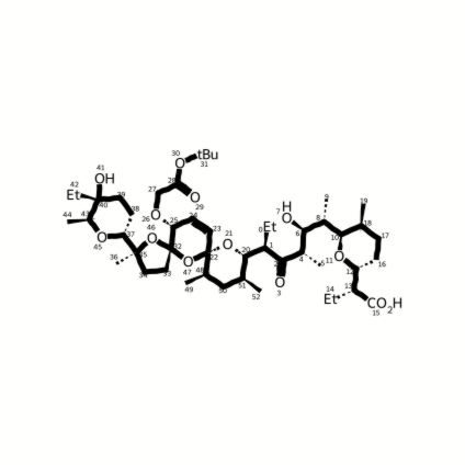 CC[C@@H](C(=O)[C@@H](C)[C@@H](O)[C@H](C)[C@@H]1O[C@@H]([C@@H](CC)C(=O)O)CC[C@@H]1C)[C@H]1O[C@]2(C=C[C@@H](OCC(=O)OC(C)(C)C)[C@]3(CC[C@@](C)([C@H]4CC[C@](O)(CC)[C@H](C)O4)O3)O2)[C@H](C)C[C@@H]1C